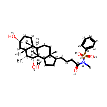 CC[C@H]1[C@@H](O)[C@@H]2[C@H](CC[C@]3(C)[C@@H](CCCC(=O)N(C)S(=O)(=O)c4ccccc4)CC[C@@H]23)[C@@]2(C)CC[C@@H](O)C[C@@H]12